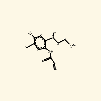 C=CC(=O)Nc1cc(C)c(O)cc1N(C)CCNC